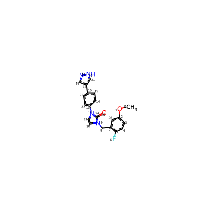 COc1ccc(F)c(Cn2ccn(-c3ccc(-c4cn[nH]c4)cc3)c2=O)c1